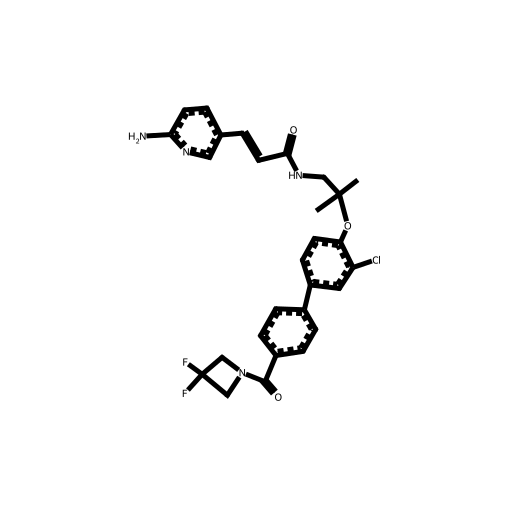 CC(C)(CNC(=O)/C=C/c1ccc(N)nc1)Oc1ccc(-c2ccc(C(=O)N3CC(F)(F)C3)cc2)cc1Cl